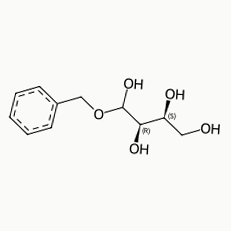 OC[C@H](O)[C@@H](O)C(O)OCc1ccccc1